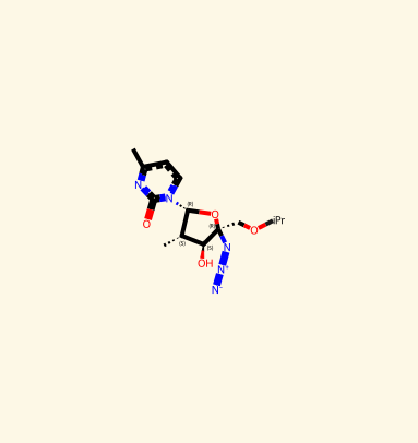 Cc1ccn([C@@H]2O[C@@](COC(C)C)(N=[N+]=[N-])[C@@H](O)[C@@H]2C)c(=O)n1